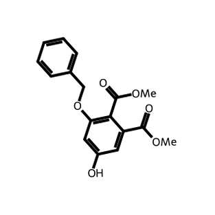 COC(=O)c1cc(O)cc(OCc2ccccc2)c1C(=O)OC